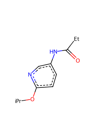 CCC(=O)Nc1ccc(OC(C)C)nc1